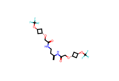 C=C(CCNC(=O)CO[C@H]1C[C@H](OC(F)(F)F)C1)NC(=O)CO[C@H]1C[C@H](OC(F)(F)F)C1